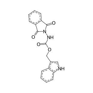 O=C(NN1C(=O)c2ccccc2C1=O)OCc1c[nH]c2ccccc12